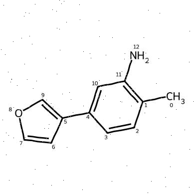 Cc1ccc(-c2ccoc2)cc1N